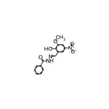 COc1cc([N+](=O)[O-])cc(/C=N/NC(=O)c2ccccc2)c1O